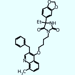 CCC1(c2ccc3c(c2)OCO3)NC(=O)N(CCCCOc2c(Cc3ccccc3)cnc3c(C)cccc23)C1=O